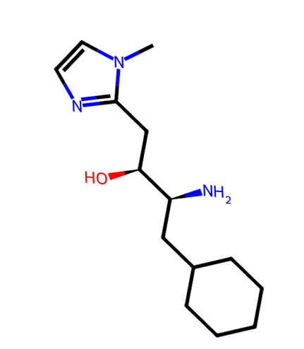 Cn1ccnc1C[C@H](O)[C@@H](N)CC1CCCCC1